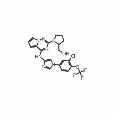 OCC1CCCN1c1nc(Nc2cn(-c3ccc(OC(F)(F)F)c(Cl)c3)cn2)c2cccn2n1